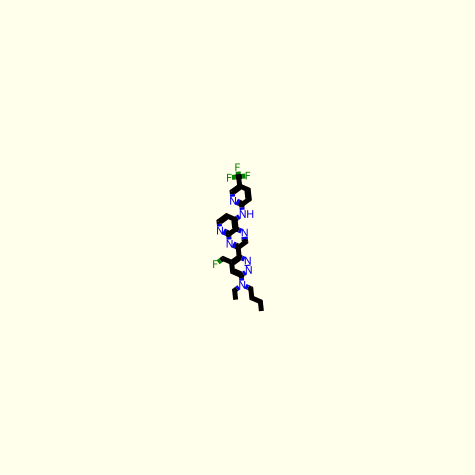 CCCCN(CC)c1cc(CF)c(-c2cnc3c(Nc4ccc(C(F)(F)F)cn4)ccnc3n2)nn1